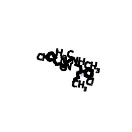 C=C(NCC/C(=C/CCC)c1cc(Cl)ccc1C)c1noc(Cc2cccc(Cl)c2)n1